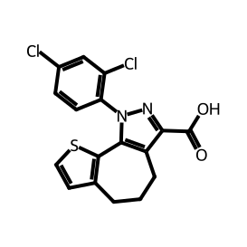 O=C(O)c1nn(-c2ccc(Cl)cc2Cl)c2c1CCCc1ccsc1-2